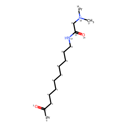 CC(C)C(=O)CCCCCCCCCNC(=O)CN(C)C(C)C